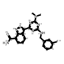 CN(C)c1nc(NCc2cccc(F)c2)nc(-c2snc3c(C(N)=O)cccc23)n1